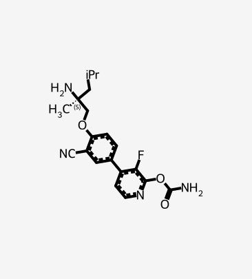 CC(C)C[C@](C)(N)COc1ccc(-c2ccnc(OC(N)=O)c2F)cc1C#N